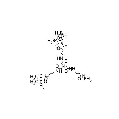 BNC(=O)CCCCNC(=O)CN(CC(=O)NCCCCCC(=O)C(C)(C)C(C)C)CC(=O)NCCCC(=O)N[C@@H](CC(=O)NB)C(=O)NB